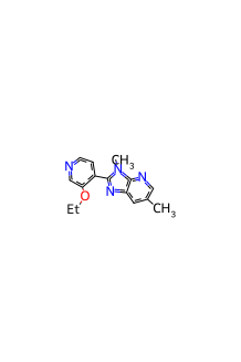 CCOc1cnccc1-c1nc2cc(C)cnc2n1C